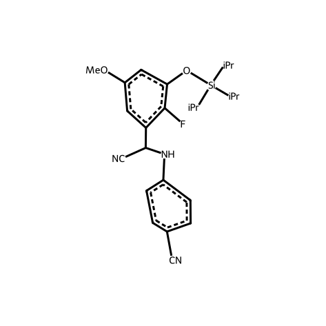 COc1cc(O[Si](C(C)C)(C(C)C)C(C)C)c(F)c(C(C#N)Nc2ccc(C#N)cc2)c1